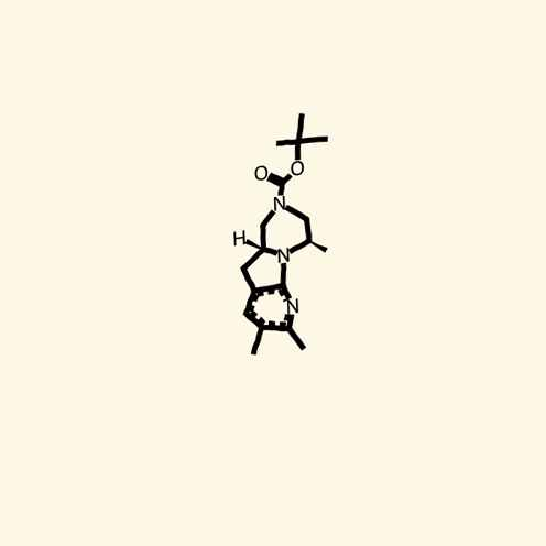 Cc1cc2c(nc1C)N1[C@H](C2)CN(C(=O)OC(C)(C)C)C[C@H]1C